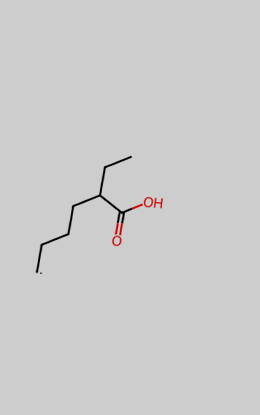 [CH2]CCCC(CC)C(=O)O